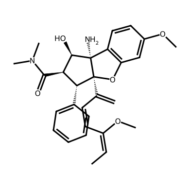 C=C(/C=C\C(=C/C)OC)[C@@]12Oc3cc(OC)ccc3[C@]1(N)[C@H](O)[C@H](C(=O)N(C)C)[C@H]2c1ccccc1